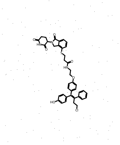 O=C(CCSc1cccc2c1CN(C1CCC(=O)NC1=O)C2=O)NCCOc1ccc(C(=C(CCCl)c2ccccc2)c2ccc(O)cc2)cc1